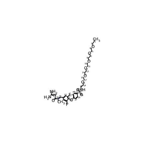 CCCOCCOCCOCCOCCOCCOCCNS(=O)(=O)c1ccc(Oc2c(F)cc(/C=C(\C)C(=O)N=C(N)N)cc2F)cc1